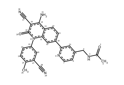 CC(=O)NCc1ccnc(-c2ccc3c(N)c(C#N)c(=O)n(-c4ccc(C)c(C#N)c4)c3c2)c1